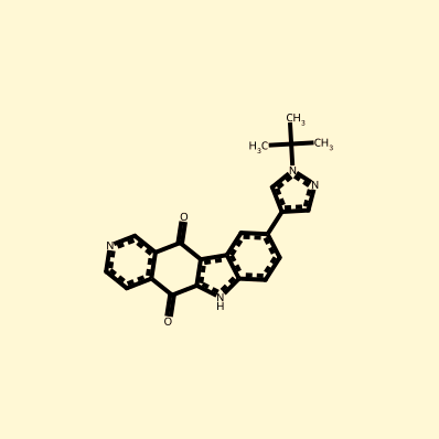 CC(C)(C)n1cc(-c2ccc3[nH]c4c(c3c2)C(=O)c2cnccc2C4=O)cn1